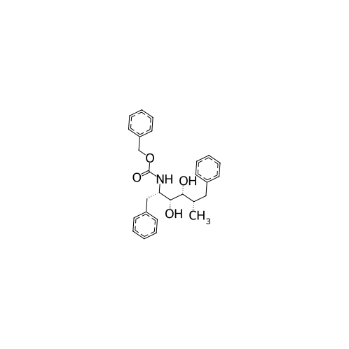 C[C@@H](Cc1ccccc1)[C@@H](O)[C@H](O)[C@H](Cc1ccccc1)NC(=O)OCc1ccccc1